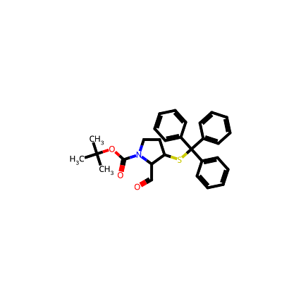 CC(C)(C)OC(=O)N1CCC(SC(c2ccccc2)(c2ccccc2)c2ccccc2)C1C=O